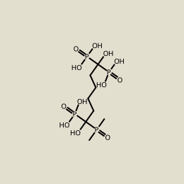 CP(C)(=O)C(O)(CCCCC(O)(P(=O)(O)O)P(=O)(O)O)P(=O)(O)O